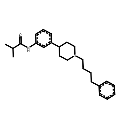 CC(C)C(=O)Nc1cccc(C2CCN(CCCCc3ccccc3)CC2)c1